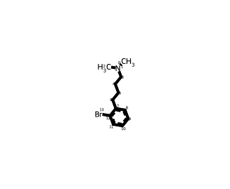 CN(C)CCCCc1ccccc1Br